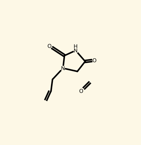 C=CCN1CC(=O)NC1=O.C=O